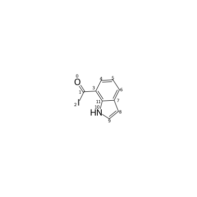 O=C(I)c1cccc2cc[nH]c12